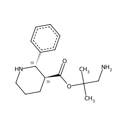 CC(C)(CN)OC(=O)[C@H]1CCCN[C@@H]1c1ccccc1